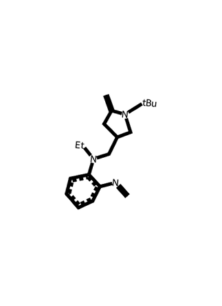 C=Nc1ccccc1N(CC)CC1CC(=C)N(C(C)(C)C)C1